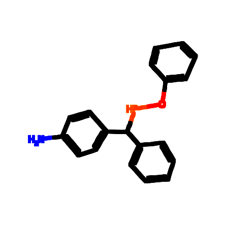 Nc1ccc(C(POc2ccccc2)c2ccccc2)cc1